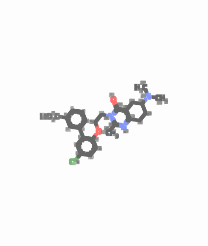 CCOC(=O)c1cccc(-c2cc(Cl)ccc2OCCn2c(C)nc3c(c2=O)CC(N(C)C)CC3)c1